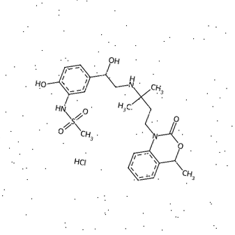 CC1OC(=O)N(CCC(C)(C)NCC(O)c2ccc(O)c(NS(C)(=O)=O)c2)c2ccccc21.Cl